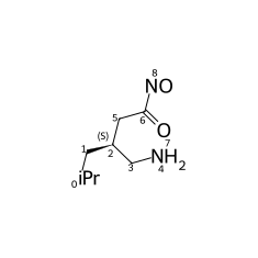 CC(C)C[C@H](CN)CC(=O)N=O